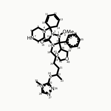 CON1N(C2(N3CCNCC3)C=CC=CC2)C(=O)N(CCCCC(C)Sc2nncn2C)C1(c1ccccc1)C1COCO1